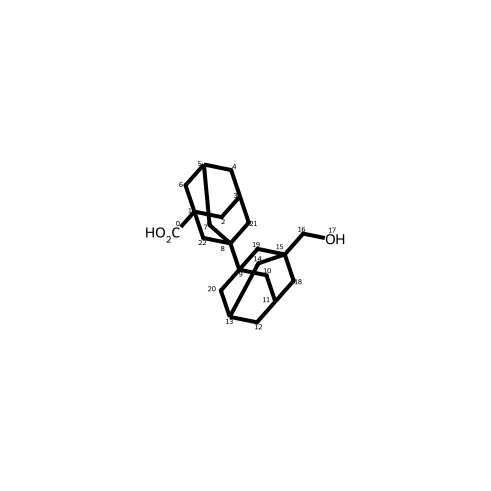 O=C(O)C12CC3CC(C1)CC(C14CC5CC(CC(CO)(C5)C1)C4)(C3)C2